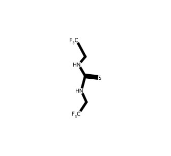 FC(F)(F)CNC(=S)NCC(F)(F)F